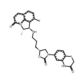 C[C@H]1[C@H](NCCC[C@H]2CN(c3ccc4c(c3)NC(=O)CS4)C(=O)O2)c2c(F)ccc3ccc(=O)n1c23